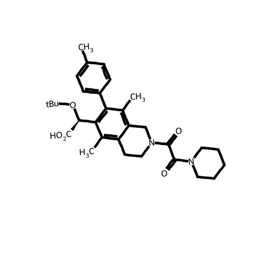 Cc1ccc(-c2c(C)c3c(c(C)c2[C@H](OC(C)(C)C)C(=O)O)CCN(C(=O)C(=O)N2CCCCC2)C3)cc1